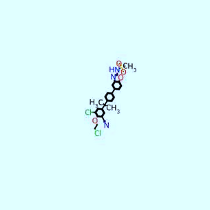 CC(C)(c1ccc(-c2ccc3oc(NS(C)(=O)=O)nc3c2)cc1)c1cc(Cl)c(OCCCl)c(C#N)c1